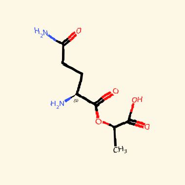 CC(OC(=O)[C@@H](N)CCC(N)=O)C(=O)O